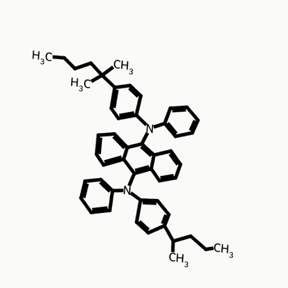 CCCCC(C)(C)c1ccc(N(c2ccccc2)c2c3ccccc3c(N(c3ccccc3)c3ccc(C(C)CCC)cc3)c3ccccc23)cc1